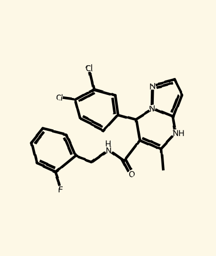 CC1=C(C(=O)NCc2ccccc2F)C(c2ccc(Cl)c(Cl)c2)n2nccc2N1